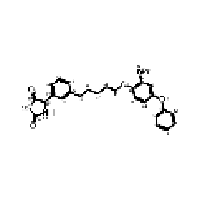 CCCc1cc(Oc2ccccc2)ccc1OCCCCCc1cccc(C2NC(=O)SC2=O)c1